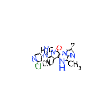 CC(Nc1cc(=O)n(C)c2c(Nc3ccnc(Cl)c3C#N)cccc12)c1ncc(C2CC2)cn1